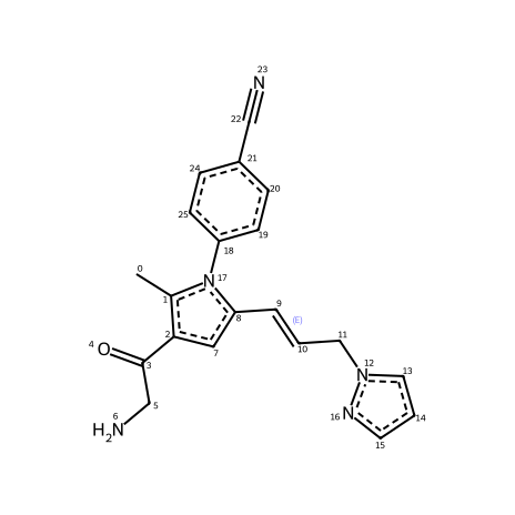 Cc1c(C(=O)CN)cc(/C=C/Cn2cccn2)n1-c1ccc(C#N)cc1